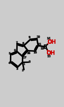 CC1(C)C=CC=C2C=c3ccc(B(O)O)cc3=C21